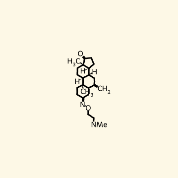 C=C1C[C@@H]2[C@H](CC[C@]3(C)C(=O)CC[C@@H]23)[C@@]2(C)CC/C(=N/OCCNC)CC12